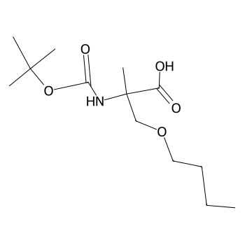 CCCCOCC(C)(NC(=O)OC(C)(C)C)C(=O)O